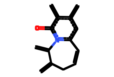 C=C1CC=Cc2cc(=C)c(=C)c(=O)n2C1=C